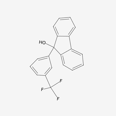 OC1(c2cccc(C(F)(F)F)c2)c2ccccc2-c2ccccc21